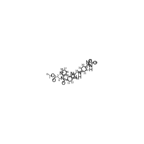 CCOC(=O)CCN(C(=O)c1ccc2c(c1)nc(CNc1ccc(-c3noc(=O)[nH]3)cc1)n2C)c1ccccn1